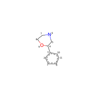 c1ccc(C2C[N]CCO2)cc1